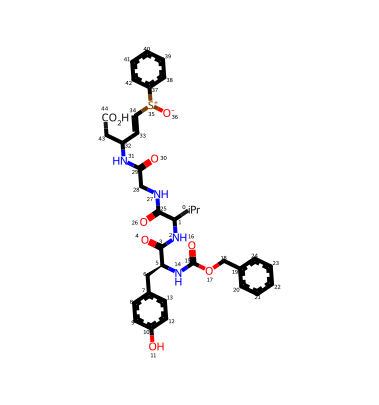 CC(C)C(NC(=O)[C@H](Cc1ccc(O)cc1)NC(=O)OCc1ccccc1)C(=O)NCC(=O)NC(/C=C/[S+]([O-])c1ccccc1)CC(=O)O